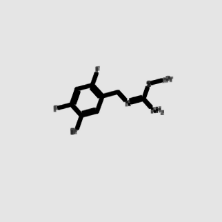 CCCS/C(N)=N\Cc1cc(Br)c(F)cc1F